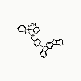 C=NC(NNCc1ccc(-n2c3ccccc3c3cc4c(cc32)Cc2ccccc2-4)cc1)(c1ccccc1)c1ccccc1